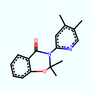 Cc1cnc(N2C(=O)c3ccccc3OC2(C)C)cc1C